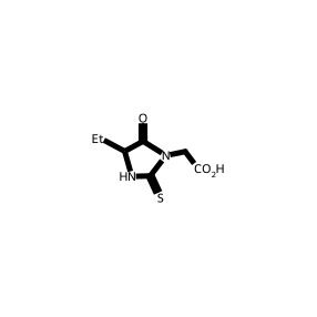 CCC1NC(=S)N(CC(=O)O)C1=O